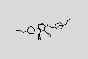 CCCC12CCC(COc3ccc([C@H]4CC[C@H](CCC)CC4)c(C#N)c3C#N)(CC1)CC2